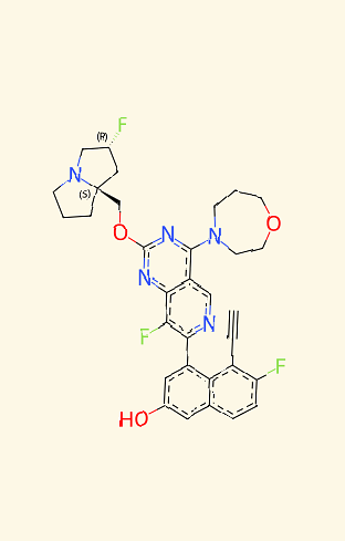 C#Cc1c(F)ccc2cc(O)cc(-c3ncc4c(N5CCCOCC5)nc(OC[C@@]56CCCN5C[C@H](F)C6)nc4c3F)c12